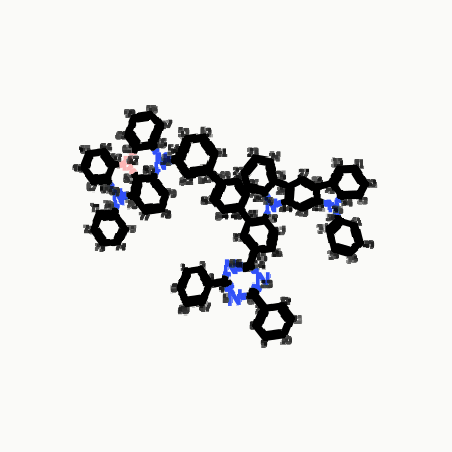 c1ccc(-c2nc(-c3ccccc3)nc(-c3ccc(-n4c5ccccc5c5cc6c7ccccc7n(-c7ccccc7)c6cc54)c(-c4ccc(-c5cccc(N6c7ccccc7B7c8ccccc8N(c8ccccc8)c8cccc6c87)c5)cc4)c3)n2)cc1